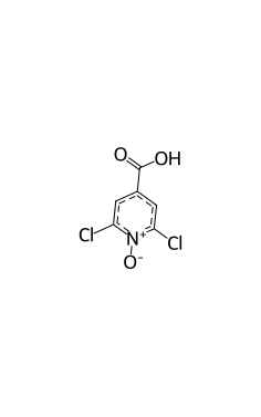 O=C(O)c1cc(Cl)[n+]([O-])c(Cl)c1